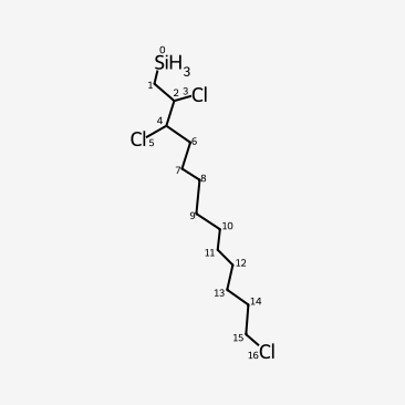 [SiH3]CC(Cl)C(Cl)CCCCCCCCCCCl